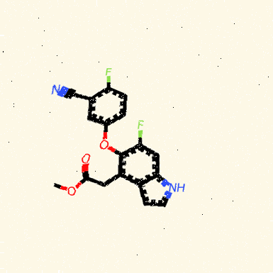 COC(=O)Cc1c(Oc2ccc(F)c(C#N)c2)c(F)cc2[nH]ccc12